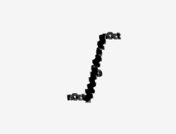 CCCCCCCCC=CCCCCCCCCOC(=O)CCCCCCC/C=C\CCCCCCCC